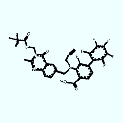 C#CCN(Cc1ccc2nc(C)n(COC(=O)C(C)(C)C)c(=O)c2c1)c1c(C(=O)O)ccc(-c2c(F)c(F)c(F)c(F)c2F)c1F